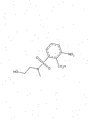 CN(CCO)S(=O)(=O)c1cccc([N+](=O)[O-])c1C(=O)O